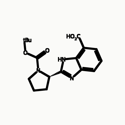 CC(C)(C)OC(=O)N1CCC[C@H]1c1nc2cccc(C(=O)O)c2[nH]1